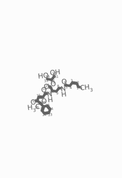 CC/C=C\CC(=O)NCCC(NC(=O)C1=CC(=O)C(C)(c2ccccc2)O1)C(=O)OC(CO)CO